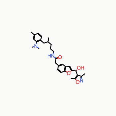 Cc1ccc(CC(C)CCCNC(=O)Cc2ccc3oc(C(O)c4c(C)noc4C)cc3c2)c(N(C)C)c1